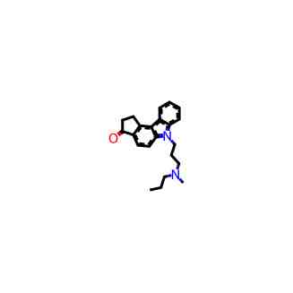 CCCN(C)CCCn1c2ccccc2c2c3c(ccc21)C(=O)CC3